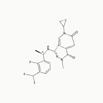 C[C@@H](Nc1nn(C)c(=O)c2cc(=O)n(C3CC3)cc12)c1cccc(C(F)F)c1F